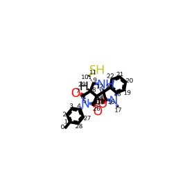 Cc1ccc(N2C(=O)[C@@H]3[C@H](CS)N[C@@]4(C(=O)N(C)c5ccccc54)[C@@H]3C2=O)cc1